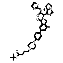 CC(C)(C)OC(=O)CCCN1CCN(c2ccc(-c3cc(F)c4c(c3)C(=O)N(C(C(=O)Nc3nccs3)c3ncn5c3CCC5)C4)cc2)CC1